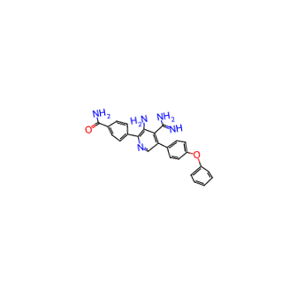 N=C(N)c1c(-c2ccc(Oc3ccccc3)cc2)cnc(-c2ccc(C(N)=O)cc2)c1N